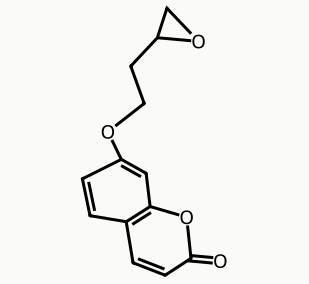 O=c1ccc2ccc(OCCC3CO3)cc2o1